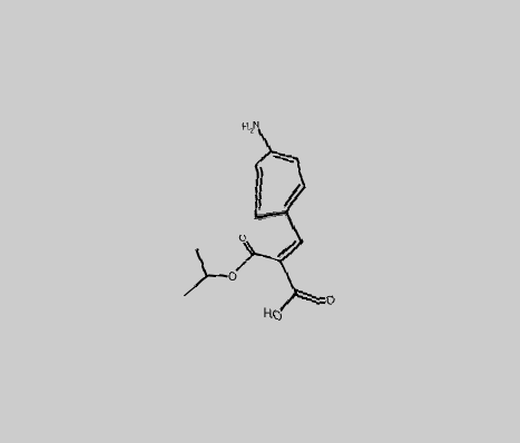 CC(C)OC(=O)C(=Cc1ccc(N)cc1)C(=O)O